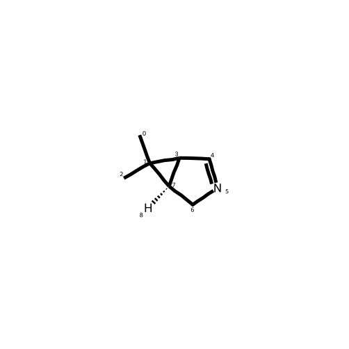 CC1(C)C2C=NC[C@H]21